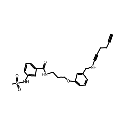 C#CCCC#CNCc1cccc(OCCCNC(=O)c2cccc(NS(C)(=O)=O)c2)c1